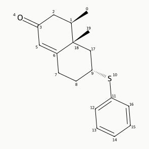 C[C@@H]1CC(=O)C=C2CC[C@@H](Sc3ccccc3)C[C@]21C